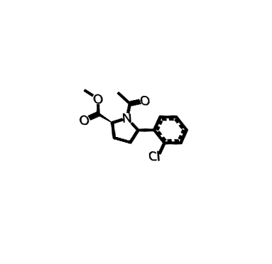 COC(=O)[C@@H]1CCC(c2ccccc2Cl)N1C(C)=O